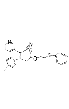 Cc1ccc(C(CC(=O)OCCSc2ccccc2)C(C#N)c2cccnc2)cc1